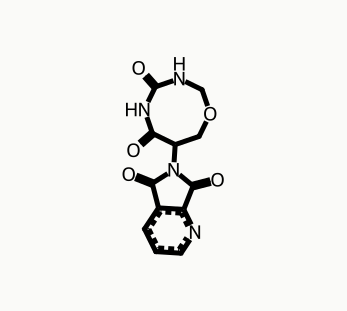 O=C1NCOCC(N2C(=O)c3cccnc3C2=O)C(=O)N1